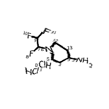 Cl.Cl.NC1CCN(C(F)C(F)F)CC1